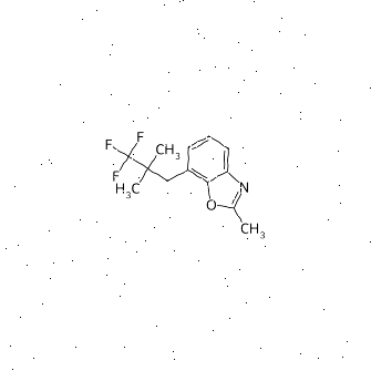 Cc1nc2cccc(CC(C)(C)C(F)(F)F)c2o1